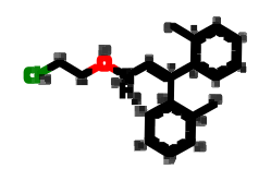 Cc1ccccc1C(=C[SiH2]OCCCl)c1ccccc1C